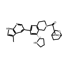 Cc1c[nH]c2ncc(-c3cc4c(c([C@@H]5CCCN5)c3)CN(C(=O)N3CC5CCC3CO5)CC4)cc12